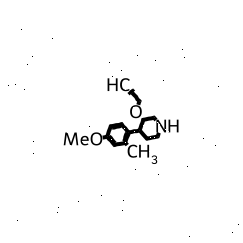 C#CCO[C@@H]1CNCCC1c1ccc(OC)cc1C